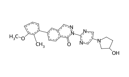 COc1cccc(-c2ccc3c(=O)n(-c4ncc(N5CCC(O)C5)cn4)ncc3c2)c1C